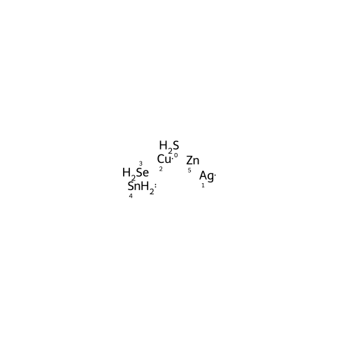 S.[Ag].[Cu].[SeH2].[SnH2].[Zn]